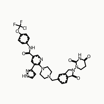 O=C1CCN(N2Cc3cc(CN4CCN(c5ncc(C(=O)Nc6ccc(OC(F)(F)Cl)cc6)cc5-c5cc[nH]n5)CC4)ccc3C2=O)C(=O)N1